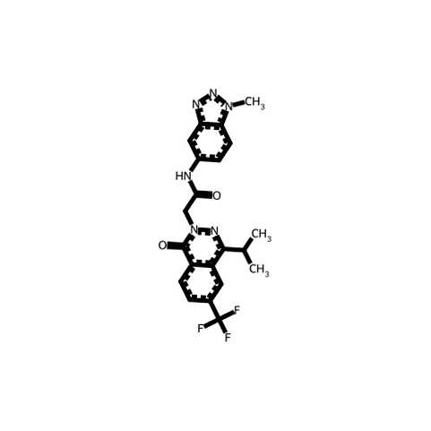 CC(C)c1nn(CC(=O)Nc2ccc3c(c2)nnn3C)c(=O)c2ccc(C(F)(F)F)cc12